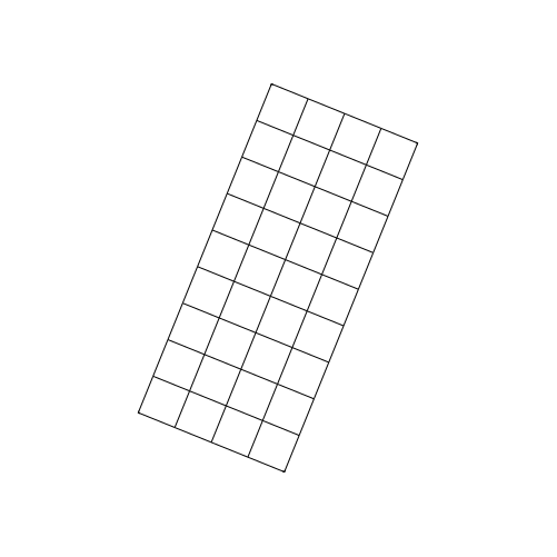 C1C2C3C4CC5C6C7C8C9C%10C%11C%12CC%13C%14C%15CC%16C%17C%18C%19C%20C%21C%22C1C21C32C45C63C74C85C96C%107C%118C%13%12C%149C%15%16C%17%10C%18%11C%19%12C%20%13C%21%14C%221C23C%144C%135C%126C%117C9%108